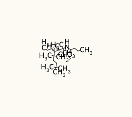 CCCC(=O)NC(C)(C)C(C)(C)C(CCC)C(C)(C)CCC(C)(C)C